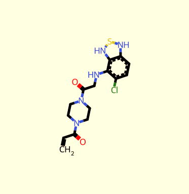 C=CC(=O)N1CCN(C(=O)CNc2c(Cl)ccc3c2NSN3)CC1